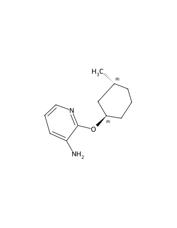 C[C@@H]1CCC[C@@H](Oc2ncccc2N)C1